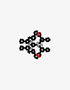 CC1(C)c2cc(-c3ccccc3)ccc2N2c3cc(-c4nc(-c5cc(-c6ccccc6)cc(-c6ccccc6)c5)nc(-c5cc(-c6ccccc6)cc(-c6ccccc6)c5)n4)cc4c3B(c3cc(-c5ccccc5)cc1c32)c1cc(-c2ccccc2)cc2c1N4c1ccc(-c3ccccc3)cc1C2(C)C